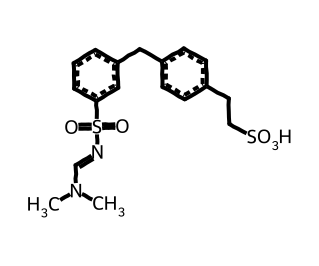 CN(C)/C=N/S(=O)(=O)c1cccc(Cc2ccc(CCS(=O)(=O)O)cc2)c1